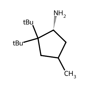 CC1C[C@@H](N)C(C(C)(C)C)(C(C)(C)C)C1